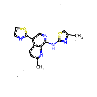 Cc1csc(Nc2ncc(-c3nccs3)c3ccc(C)nc23)n1